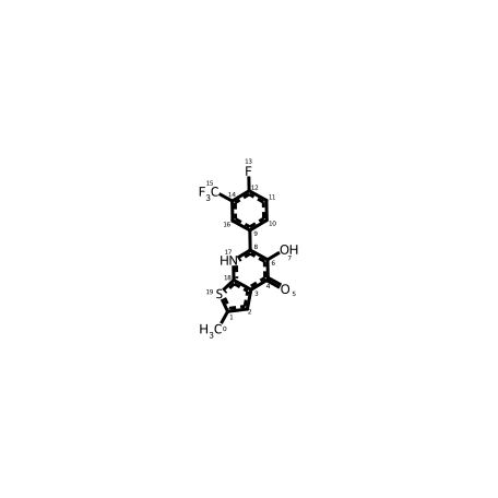 Cc1cc2c(=O)c(O)c(-c3ccc(F)c(C(F)(F)F)c3)[nH]c2s1